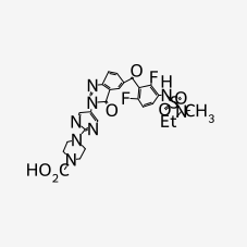 CCN(C)S(=O)(=O)Nc1ccc(F)c(C(=O)c2ccc3ncn(-c4cnc(N5CCN(C(=O)O)CC5)nc4)c(=O)c3c2)c1F